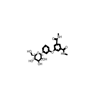 CNC(=O)c1cc(Oc2cccc([C@H]3O[C@H](CO)[C@@H](O)[C@H](O)[C@@H]3O)c2)cc(C(=O)NC)c1